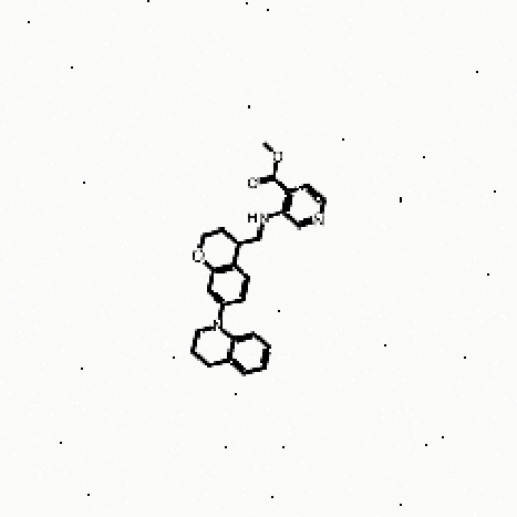 COC(=O)c1ccncc1NCC1CCOc2cc(N3CCCc4ccccc43)ccc21